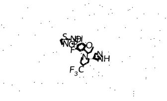 O=S(=O)(Nc1nccs1)c1cc2c(cc1F)[C@@H](N1CCC(C(F)(F)F)C[C@H]1c1cn[nH]c1)CCO2